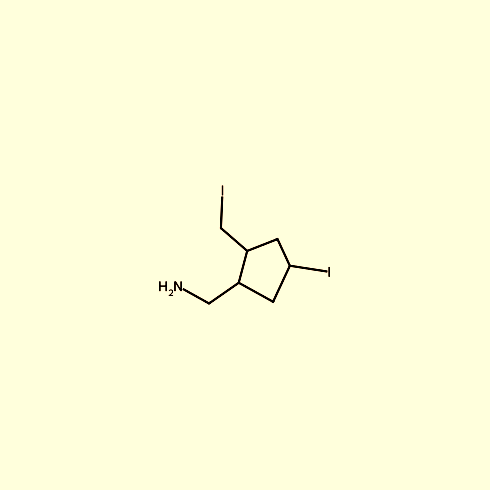 NCC1CC(I)CC1CI